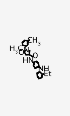 CCc1ccccc1Nc1ccc(NC(=O)C2CC(=O)N(c3cc(C)ccc3C)C2)cc1